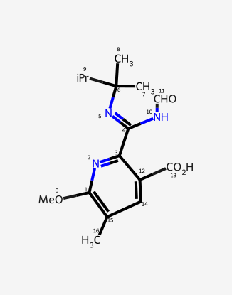 COc1nc(/C(=N/C(C)(C)C(C)C)NC=O)c(C(=O)O)cc1C